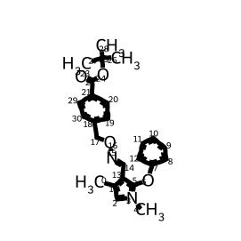 Cc1cn(C)c(Oc2ccccc2)c1/C=N/OCc1ccc(C(=O)OC(C)(C)C)cc1